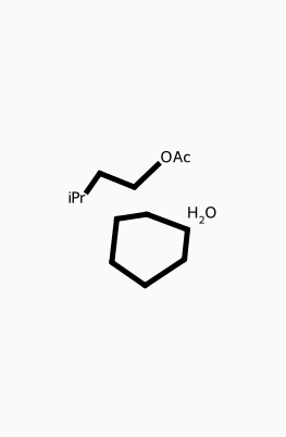 C1CCCCC1.CC(=O)OCCC(C)C.O